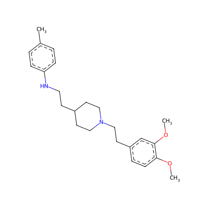 COc1ccc(CCN2CCC(CCNc3ccc(C)cc3)CC2)cc1OC